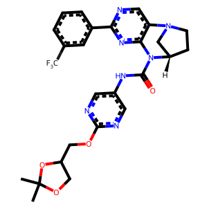 CC1(C)OCC(COc2ncc(NC(=O)N3c4nc(-c5cccc(C(F)(F)F)c5)ncc4N4CC[C@H]3C4)cn2)O1